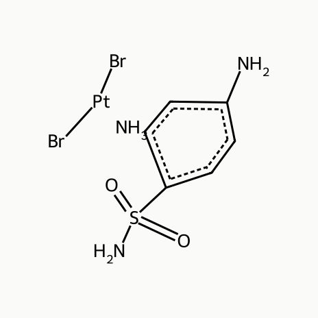 N.Nc1ccc(S(N)(=O)=O)cc1.[Br][Pt][Br]